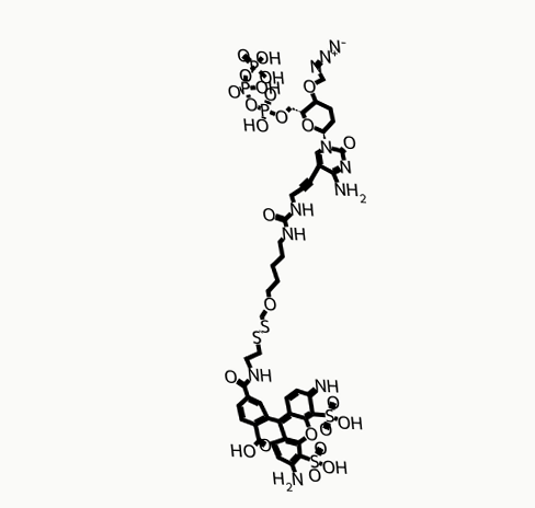 [N-]=[N+]=NCOC1CC[C@H](n2cc(C#CCNC(=O)NCCCCCOCSSCCNC(=O)c3ccc(C(=O)O)c(-c4c5ccc(=N)c(S(=O)(=O)O)c-5oc5c(S(=O)(=O)O)c(N)ccc45)c3)c(N)nc2=O)O[C@@H]1COP(=O)(O)OP(=O)(O)OP(=O)(O)O